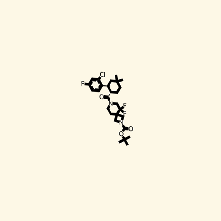 CC1(C)CC[C@H](C(=O)N2CCC3(CN(C(=O)OC(C)(C)C)C3)C(F)(F)C2)[C@@H](c2ccc(F)cc2Cl)C1